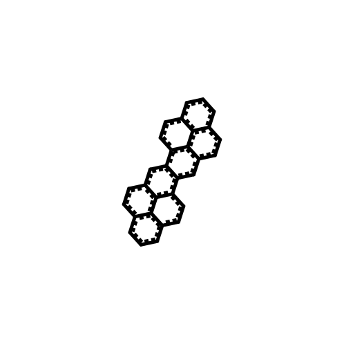 c1cc2ccc3cc4c(cc5ccc6cccc7ccc4c5c67)c4ccc(c1)c2c34